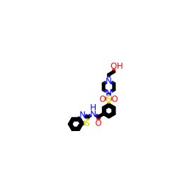 O=C(Nc1nc2ccccc2s1)c1cccc(S(=O)(=O)N2CCN(CCO)CC2)c1